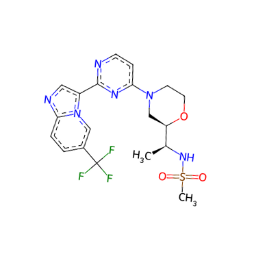 C[C@H](NS(C)(=O)=O)[C@H]1CN(c2ccnc(-c3cnc4ccc(C(F)(F)F)cn34)n2)CCO1